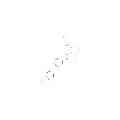 C=C(C(=O)N1CCCCC1C(=O)OCC)c1ccc(Sc2ccc3c(c2)CCOO3)c(Cl)c1